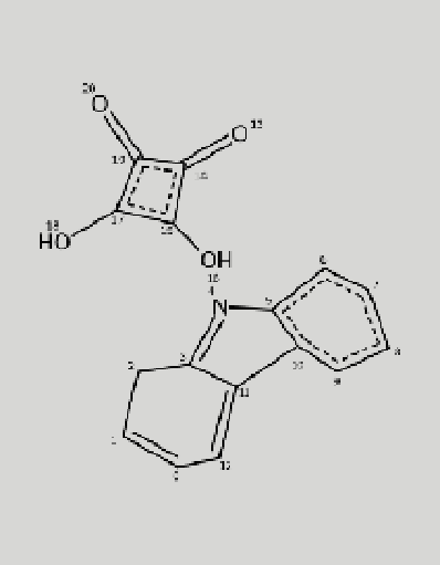 C1=CCC2=Nc3ccccc3C2=C1.O=c1c(O)c(O)c1=O